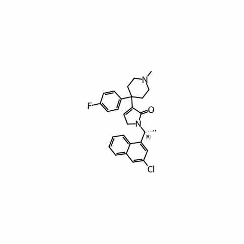 C[C@H](c1cc(Cl)cc2ccccc12)N1CC=C(C2(c3ccc(F)cc3)CCN(C)CC2)C1=O